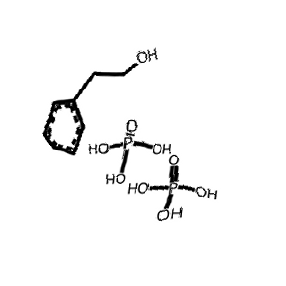 O=P(O)(O)O.O=P(O)(O)O.OCCc1ccccc1